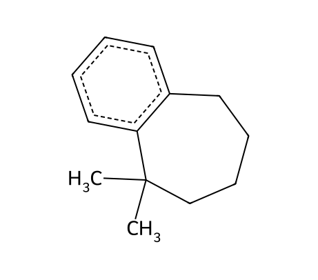 CC1(C)CCCCc2ccccc21